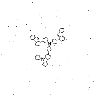 c1ccc(-n2c3ccccc3c3ccc(-c4ccc(N(c5ccc(-c6cccc7c6sc6ccccc67)cc5)c5cccc(-c6cccc7c6sc6ccccc67)c5)cc4)cc32)cc1